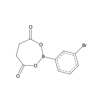 O=C1CCC(=O)OB(c2cccc(Br)c2)O1